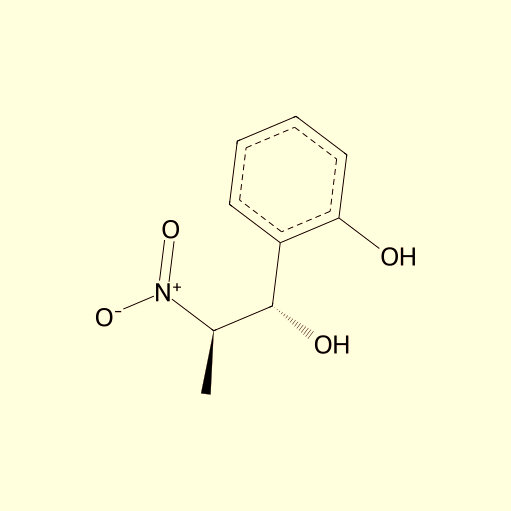 C[C@H]([C@@H](O)c1ccccc1O)[N+](=O)[O-]